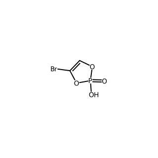 O=P1(O)OC=C(Br)O1